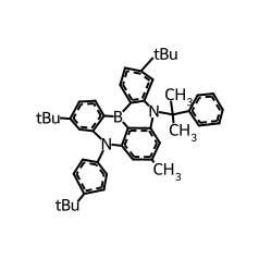 Cc1cc2c3c(c1)N(C(C)(C)c1ccccc1)c1cc(C(C)(C)C)ccc1B3c1ccc(C(C)(C)C)cc1N2c1ccc(C(C)(C)C)cc1